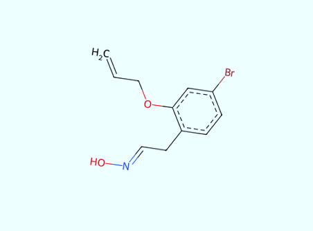 C=CCOc1cc(Br)ccc1CC=NO